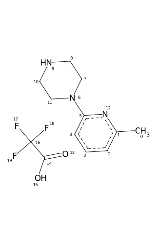 Cc1cccc(N2CCNCC2)n1.O=C(O)C(F)(F)F